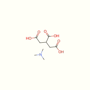 CN(C)C.O=C(O)CC(CC(=O)O)C(=O)O